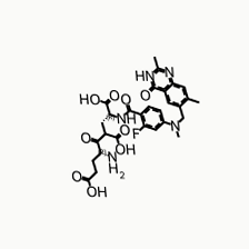 Cc1nc2cc(C)c(CN(C)c3ccc(C(=O)N[C@H](CC(C(=O)O)C(=O)[C@H](N)CCC(=O)O)C(=O)O)c(F)c3)cc2c(=O)[nH]1